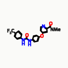 CNC(=O)c1cc(Oc2ccc(NC(=O)Nc3ccc(C(F)(F)F)cc3)cc2)ccn1